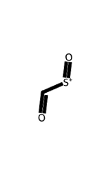 O=C[S+]=O